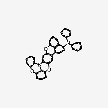 c1ccc(N(c2ccccc2)c2ccc3c4c(cccc24)Oc2cc4c(cc2-3)Oc2cccc3c2B4c2ccccc2O3)cc1